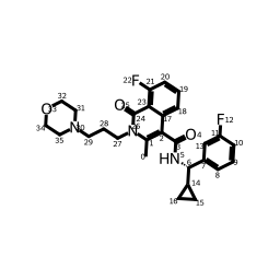 Cc1c(C(=O)N[C@H](c2cccc(F)c2)C2CC2)c2cccc(F)c2c(=O)n1CCCN1CCOCC1